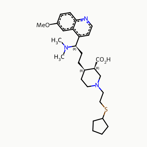 COc1ccc2nccc([C@@H](CC[C@@H]3CCN(CCSC4CCCC4)C[C@@H]3C(=O)O)N(C)C)c2c1